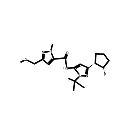 COCc1cc(C(=O)Nc2cc([C@@H]3CC[CH][C@@H]3F)nn2C(C)(C)C)n(C)n1